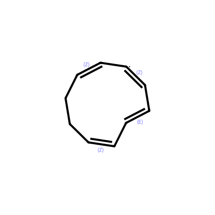 [C]1=C\C=C\C=C/CC\C=C/1